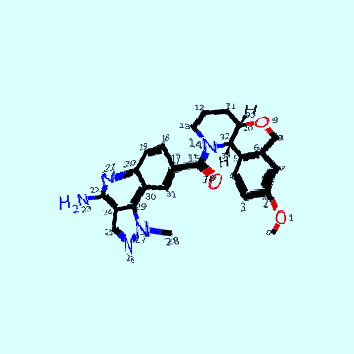 COc1ccc2c(c1)CO[C@H]1CCCN(C(=O)c3ccc4nc(N)c5cnn(C)c5c4c3)[C@@H]21